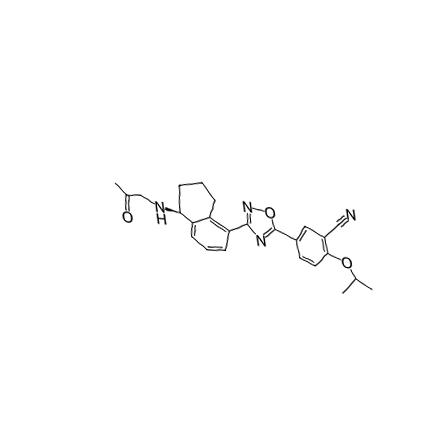 CC(=O)CN[C@H]1CCCc2c(-c3noc(-c4ccc(OC(C)C)c(C#N)c4)n3)cccc21